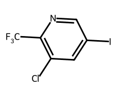 FC(F)(F)c1ncc(I)cc1Cl